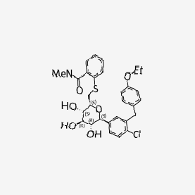 CCOc1ccc(Cc2cc([C@@H]3O[C@H](CSc4ccccc4C(=O)NC)[C@@H](O)[C@H](O)[C@H]3O)ccc2Cl)cc1